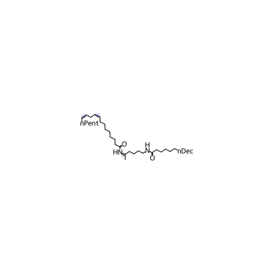 CCCCC/C=C\C/C=C\CCCCCCCC(=O)N[C@H](C)CCCCNC(=O)CCCCCCCCCCCCCCC